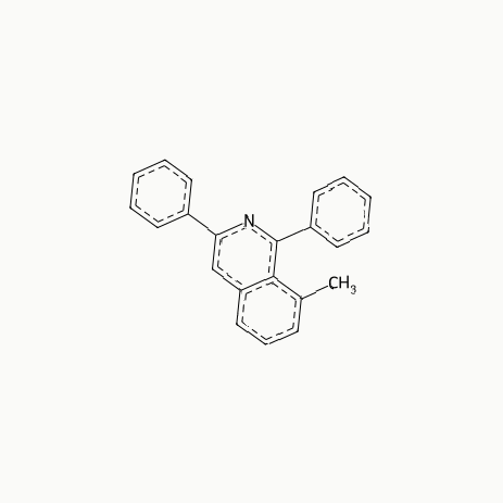 Cc1cccc2cc(-c3ccccc3)nc(-c3ccccc3)c12